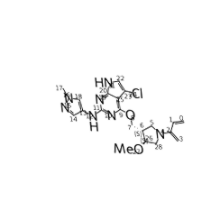 C=CC(=C)N1C[C@@H](COc2nc(Nc3cnn(C)c3)nc3[nH]cc(Cl)c23)[C@H](OC)C1